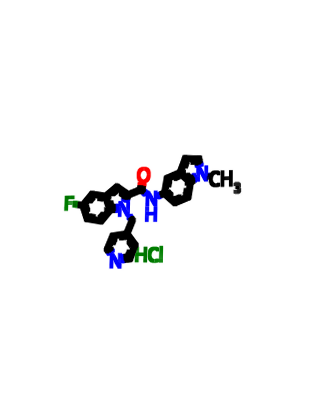 Cl.Cn1ccc2cc(NC(=O)c3cc4cc(F)ccc4n3Cc3ccncc3)ccc21